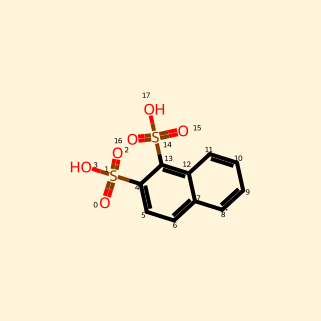 O=S(=O)(O)c1ccc2[c]cccc2c1S(=O)(=O)O